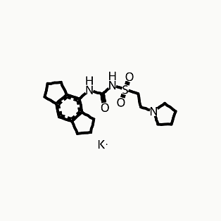 O=C(Nc1c2c(cc3c1CCC3)CCC2)NS(=O)(=O)CCN1CCCC1.[K]